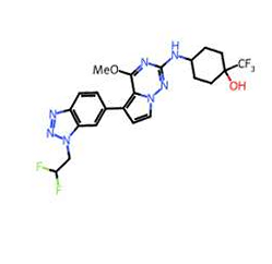 COc1nc(NC2CCC(O)(C(F)(F)F)CC2)nn2ccc(-c3ccc4nnn(CC(F)F)c4c3)c12